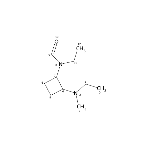 CCN(C)C1CCC1N(C=O)CC